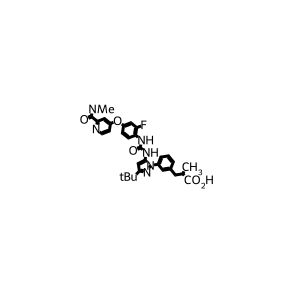 CNC(=O)c1cc(Oc2ccc(NC(=O)Nc3cc(C(C)(C)C)nn3-c3cccc(CC(C)C(=O)O)c3)c(F)c2)ccn1